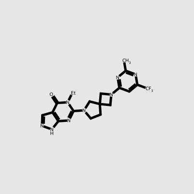 CCn1c(N2CCC3(CN(c4cc(C(F)(F)F)nc(C)n4)C3)C2)nc2[nH]ncc2c1=O